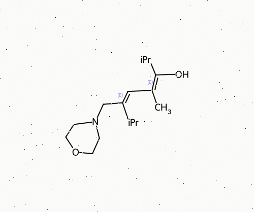 CC(/C=C(/CN1CCOCC1)C(C)C)=C(\O)C(C)C